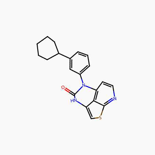 O=C1Nc2csc3nccc(c23)N1c1cccc(C2CCCCC2)c1